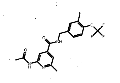 CC(=O)Nc1cc(C(=O)NCc2ccc(OC(F)(F)F)c(F)c2)cc(C)n1